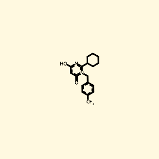 O=c1cc(O)nc(C2CCCCC2)n1Cc1ccc(C(F)(F)F)cc1